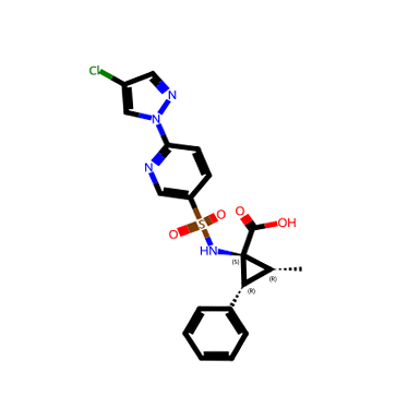 C[C@@H]1[C@H](c2ccccc2)[C@]1(NS(=O)(=O)c1ccc(-n2cc(Cl)cn2)nc1)C(=O)O